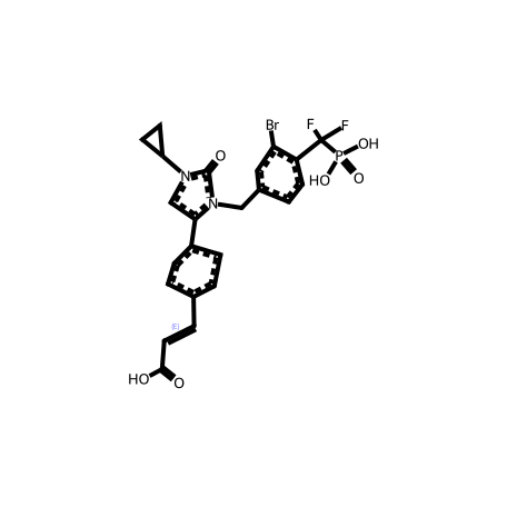 O=C(O)/C=C/c1ccc(-c2cn(C3CC3)c(=O)n2Cc2ccc(C(F)(F)P(=O)(O)O)c(Br)c2)cc1